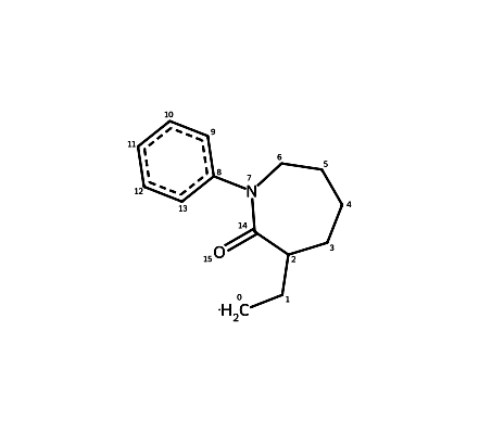 [CH2]CC1CCCCN(c2ccccc2)C1=O